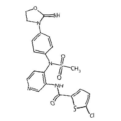 CS(=O)(=O)N(c1ccc(N2CCOC2=N)cc1)c1ccncc1NC(=O)c1ccc(Cl)s1